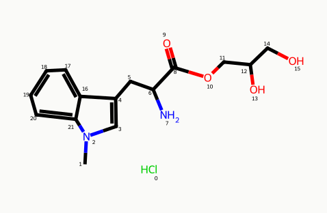 Cl.Cn1cc(CC(N)C(=O)OCC(O)CO)c2ccccc21